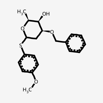 COc1ccc(SC2C[C@H](OCc3ccccc3)[C@H](O)[C@H](C)O2)cc1